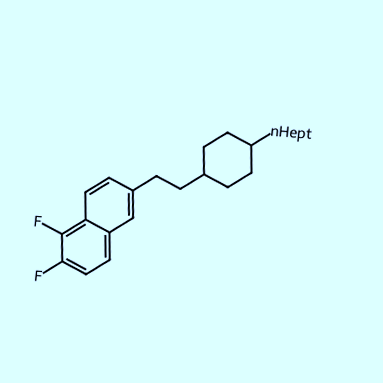 CCCCCCCC1CCC(CCc2ccc3c(F)c(F)ccc3c2)CC1